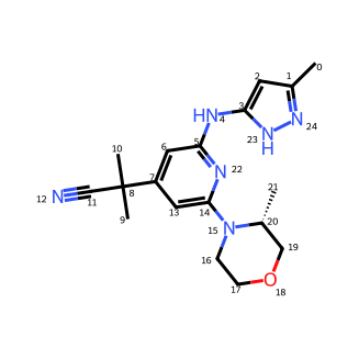 Cc1cc(Nc2cc(C(C)(C)C#N)cc(N3CCOC[C@H]3C)n2)[nH]n1